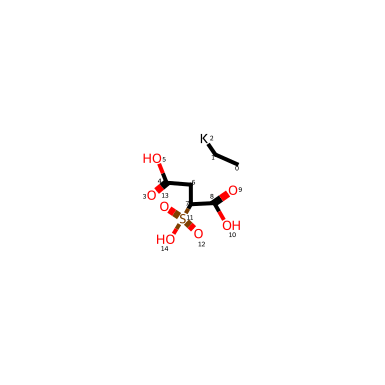 C[CH2][K].O=C(O)CC(C(=O)O)S(=O)(=O)O